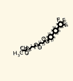 C=C(C)C(=O)OCCCOC(=O)CCC(=O)OC1CCC(C2CCC(C3CC(F)C(F)C(F)C3)CC2)CC1